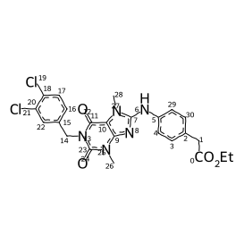 CCOC(=O)Cc1ccc(Nc2nc3c(c(=O)n(Cc4ccc(Cl)c(Cl)c4)c(=O)n3C)n2C)cc1